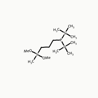 CO[Si](C)(CCCP([Si](C)(C)C)[Si](C)(C)C)OC